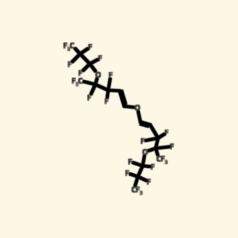 FC(F)(F)C(F)(F)C(F)(F)OC(F)(C(F)(F)F)C(F)(F)C=COC=CC(F)(F)C(F)(OC(F)(F)C(F)(F)C(F)(F)F)C(F)(F)F